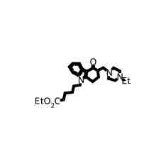 CCOC(=O)CCCCCn1c2c(c3ccccc31)C(=O)C(CN1CCN(CC)CC1)CC2